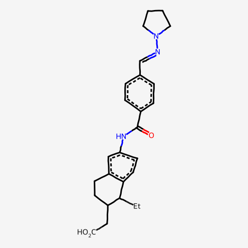 CCC1c2ccc(NC(=O)c3ccc(C=NN4CCCC4)cc3)cc2CCC1CC(=O)O